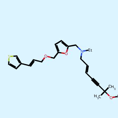 CCOC(C)(C)C#CC=CCN(CC)Cc1ccc(COCC=Cc2ccsc2)o1